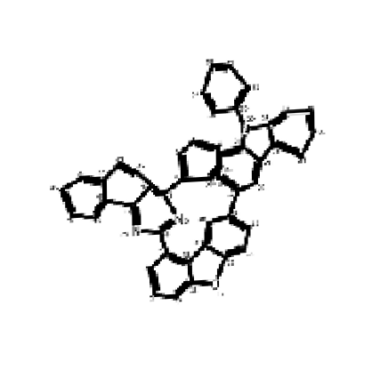 c1ccc(-c2nc(-c3cccc4oc5ccc(-c6ccc7c(c6)c6ccccc6n7-c6ccccc6)cc5c34)nc3c2ccc2ccccc23)cc1